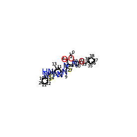 CCOC(=O)c1nc(N(C)c2cc(C)c(Nc3nc4ccccc4s3)nn2)sc1N1CC(OCc2ccccc2)C1